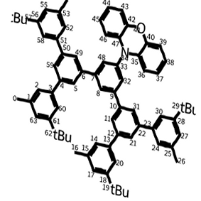 Cc1cc(-c2cc(-c3cc(-c4cc(-c5cc(C)cc(C(C)(C)C)c5)cc(-c5cc(C)cc(C(C)(C)C)c5)c4)cc(N4c5ccccc5Oc5ccccc54)c3)cc(-c3cc(C)cc(C(C)(C)C)c3)c2)cc(C(C)(C)C)c1